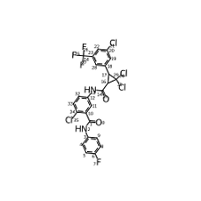 O=C(Nc1ccc(F)cc1)c1cc(NC(=O)C2C(c3cc(Cl)cc(C(F)(F)F)c3)C2(Cl)Cl)ccc1Cl